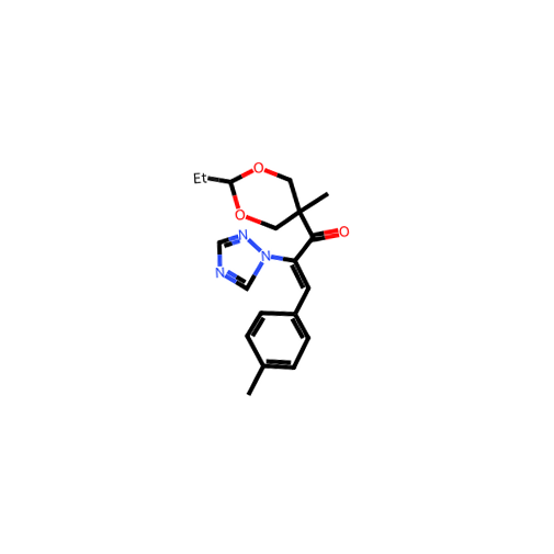 CCC1OCC(C)(C(=O)C(=Cc2ccc(C)cc2)n2cncn2)CO1